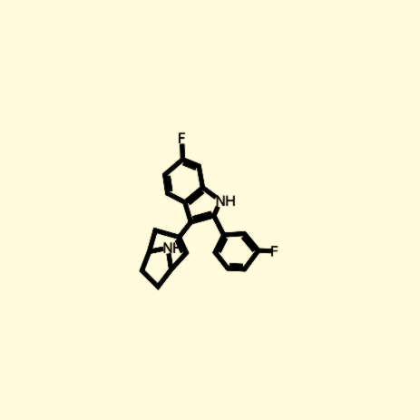 Fc1cccc(-c2[nH]c3cc(F)ccc3c2C2=CC3CCC(C2)N3)c1